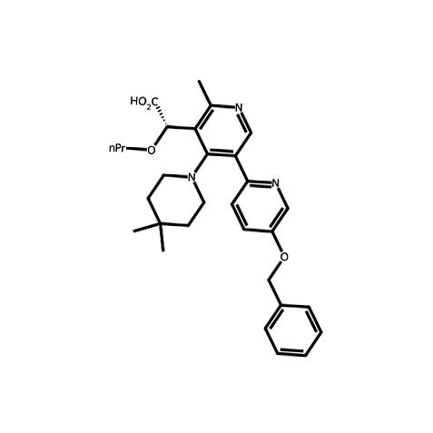 CCCO[C@H](C(=O)O)c1c(C)ncc(-c2ccc(OCc3ccccc3)cn2)c1N1CCC(C)(C)CC1